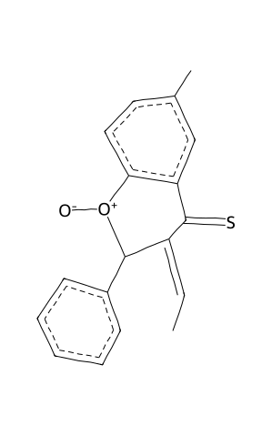 CC=C1C(=S)c2cc(C)ccc2[O+]([O-])C1c1ccccc1